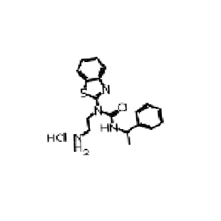 C[C@@H](NC(=O)N(CCN)c1nc2ccccc2s1)c1ccccc1.Cl